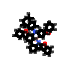 Cc1cc2c(cc1N1c3cc4c(cc3B3c5c(cc6c(oc7ccccc76)c51)-c1cccc5c6c7ccccc7oc6n3c15)oc1ccccc14)C(C)(C)CCC2(C)C